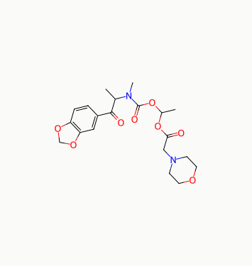 CC(OC(=O)CN1CCOCC1)OC(=O)N(C)C(C)C(=O)c1ccc2c(c1)OCO2